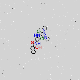 O=C(Nc1ccc(Nc2c(Cl)c(N3CCCCC3)nc(N3CCCCC3)c2Cl)cc1)c1ccc2ccccc2c1O